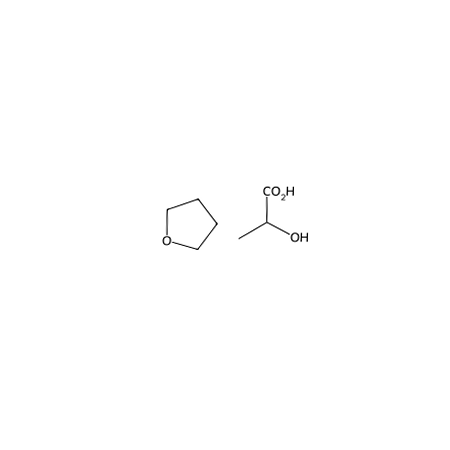 C1CCOC1.CC(O)C(=O)O